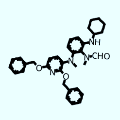 CN(C=O)c1c(NC2CCCCC2)cccc1N(C)c1ccc(OCc2ccccc2)nc1OCc1ccccc1